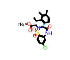 Cc1ccc(F)c(C(C)[C@@H](C(=O)OC(C)(C)C)N2CC(=O)Nc3cc(Cl)ccc3S2(=O)=O)c1C